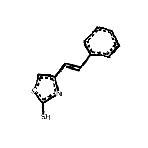 Sc1nc(/C=C/c2ccccc2)cs1